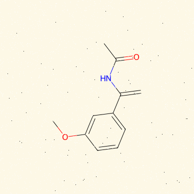 C=C(NC(C)=O)c1cccc(OC)c1